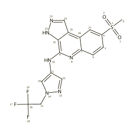 CS(=O)(=O)c1ccc2nc(Nc3cnn(CC(F)(F)F)c3)c3[nH]ncc3c2c1